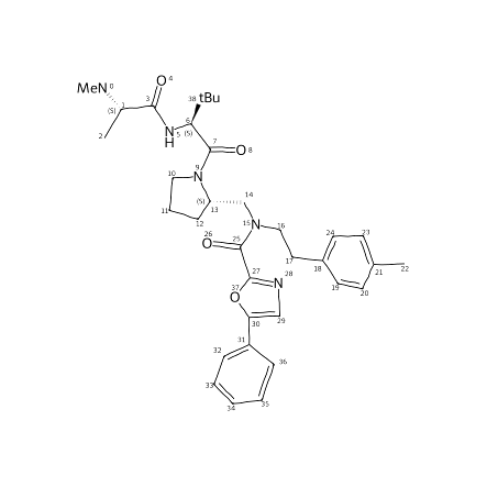 CN[C@@H](C)C(=O)N[C@H](C(=O)N1CCC[C@H]1CN(CCc1ccc(C)cc1)C(=O)c1ncc(-c2ccccc2)o1)C(C)(C)C